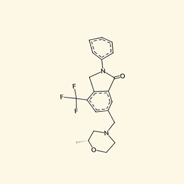 C[C@@H]1CN(Cc2cc3c(c(C(F)(F)F)c2)CN(c2ccccc2)C3=O)CCO1